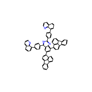 c1ccc2c(c1)-c1cccc3c(-c4cc(-c5ccc6c7c(cccc57)-c5ccccc5-6)c5nc(-c6ccc(-c7cccc8cccnc78)cc6)nc(-c6ccc(-c7cccc8cccnc78)cc6)c5c4)ccc-2c13